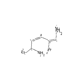 CCC(N)/C=C\C(=C/N)C(C)C